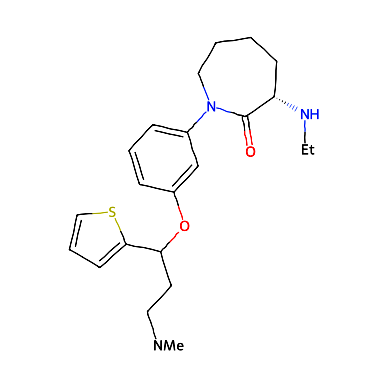 CCN[C@H]1CCCCN(c2cccc(OC(CCNC)c3cccs3)c2)C1=O